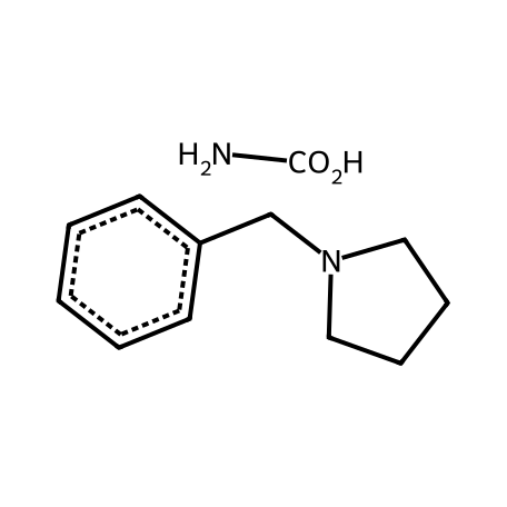 NC(=O)O.c1ccc(CN2CCCC2)cc1